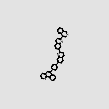 c1ccc2c(-c3ccc4ccc(-c5ccc6ccc(-c7ccc(-c8cc9cccnc9c9ncccc89)cc7)cc6n5)cc4n3)cncc2c1